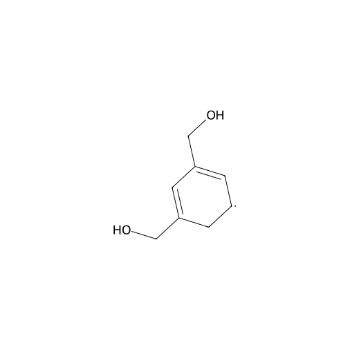 OCC1=C[CH]CC(CO)=C1